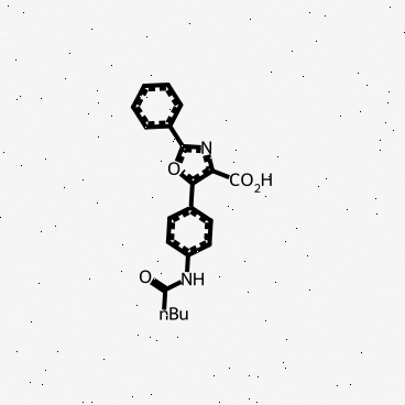 CCCCC(=O)Nc1ccc(-c2oc(-c3ccccc3)nc2C(=O)O)cc1